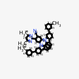 Cc1cccc(-c2ccc3c4ccccc4n(-c4cc(C#N)c(-c5nc(C)cc(C)n5)cc4-n4c5ccccc5c5ccc(-c6cccc(C)c6)cc54)c3c2)c1